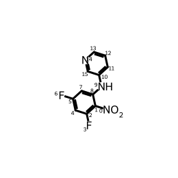 O=[N+]([O-])c1c(F)cc(F)cc1Nc1cccnc1